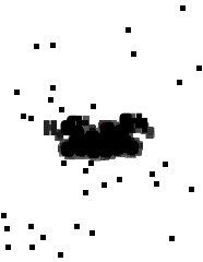 CC(C)c1ccc(N(c2ccc3c(c2)C(c2ccccc2)(c2ccccc2)c2cc(N(c4ccc(C(C)C)cc4)c4cccc5c4oc4ccccc45)c4ccccc4c2-3)c2cccc3c2oc2ccccc23)cc1